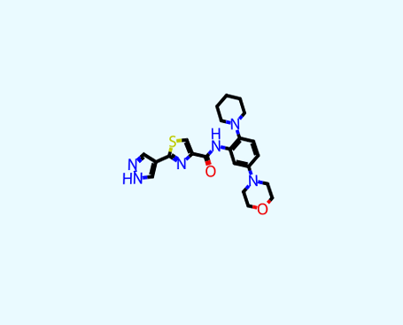 O=C(Nc1cc(N2CCOCC2)ccc1N1CCCCC1)c1csc(-c2cn[nH]c2)n1